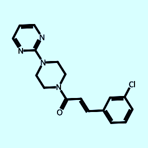 O=C(/C=C/c1cccc(Cl)c1)N1CCN(c2ncccn2)CC1